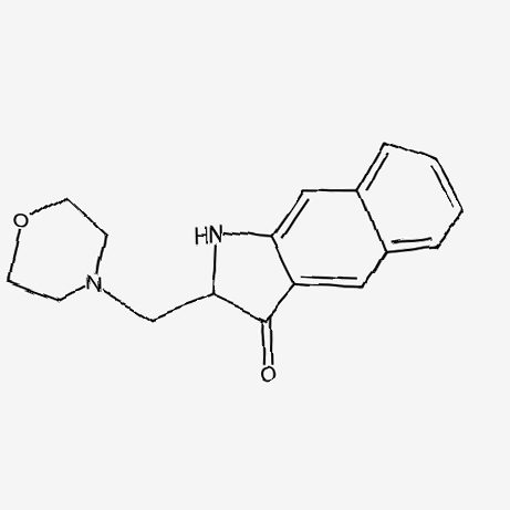 O=C1c2cc3ccccc3cc2NC1CN1CCOCC1